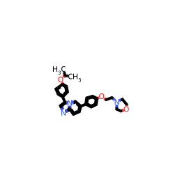 CC(C)Oc1ccc(-c2cnc3ccc(-c4ccc(OCCN5CCOCC5)cc4)cn23)cc1